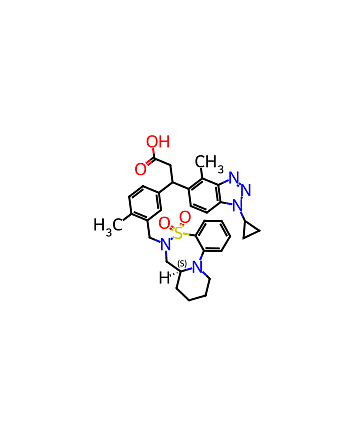 Cc1ccc(C(CC(=O)O)c2ccc3c(nnn3C3CC3)c2C)cc1CN1C[C@@H]2CCCCN2c2ccccc2S1(=O)=O